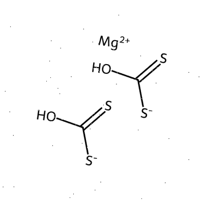 OC(=S)[S-].OC(=S)[S-].[Mg+2]